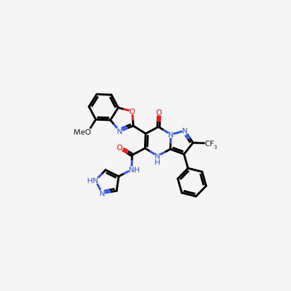 COc1cccc2oc(-c3c(C(=O)Nc4cn[nH]c4)[nH]c4c(-c5ccccc5)c(C(F)(F)F)nn4c3=O)nc12